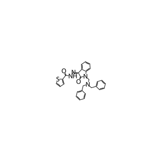 O=C(N/N=C1\C(=O)N(CN(Cc2ccccc2)Cc2ccccc2)c2ccccc21)c1cccs1